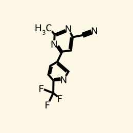 Cc1nc(C#N)cc(-c2ccc(C(F)(F)F)nc2)n1